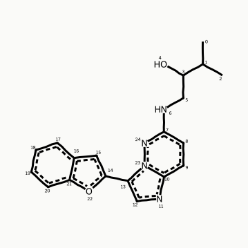 CC(C)C(O)CNc1ccc2ncc(-c3cc4ccccc4o3)n2n1